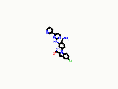 NCc1ccc(-n2c(C(N)=O)cc3cc(Cl)ccc32)cc1Nc1nccc(-c2cccnc2)n1